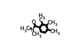 Cc1ccc(C(=O)N(C)C)c(C)c1C